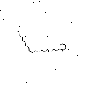 CCCCCCCC/C=C\CCCCCCCCc1cccc(C)c1C